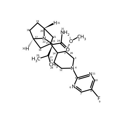 CO[C@@H]1CN(c2ncc(F)cn2)CCC1C1C[C@H]2CC[C@H](C1)N2[C@@H](C(N)=O)C(C)C